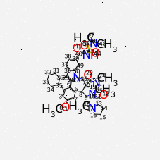 COc1ccc2c(c1)C1CN(C(=O)[C@@H]3CCCN3C)CC1(C(=O)N(C)C)Cn1c-2c(C2CCCCC2)c2ccc(C(=O)NS(=O)(=O)N(C)C)cc21